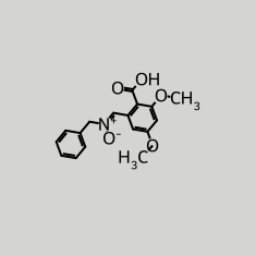 COc1cc(C=[N+]([O-])Cc2ccccc2)c(C(=O)O)c(OC)c1